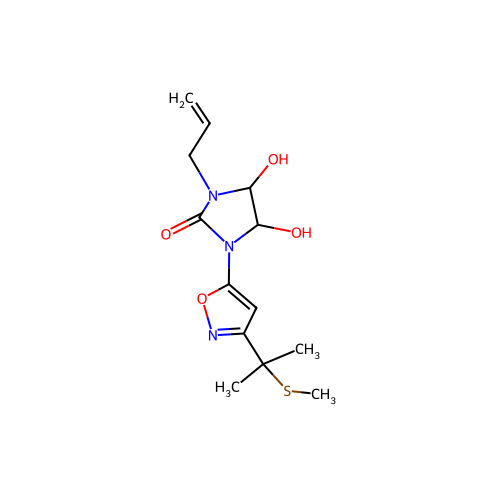 C=CCN1C(=O)N(c2cc(C(C)(C)SC)no2)C(O)C1O